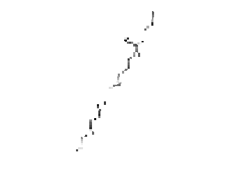 CCCCOCCOCCOCCCNC(=O)CCCC